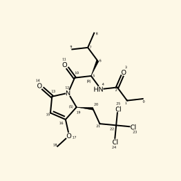 CCC(=O)N[C@H](CC(C)C)C(=O)N1C(=O)C=C(OC)[C@@H]1CCC(Cl)(Cl)Cl